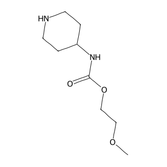 COCCOC(=O)NC1CCNCC1